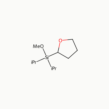 CO[Si](C(C)C)(C(C)C)C1CCCO1